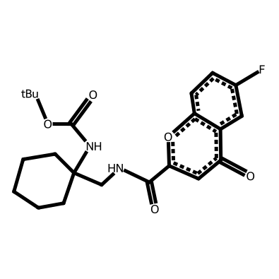 CC(C)(C)OC(=O)NC1(CNC(=O)c2cc(=O)c3cc(F)ccc3o2)CCCCC1